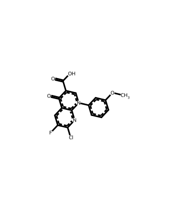 COc1cccc(-n2cc(C(=O)O)c(=O)c3cc(F)c(Cl)nc32)c1